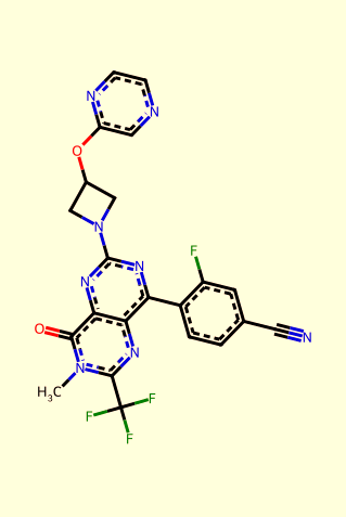 Cn1c(C(F)(F)F)nc2c(-c3ccc(C#N)cc3F)nc(N3CC(Oc4cnccn4)C3)nc2c1=O